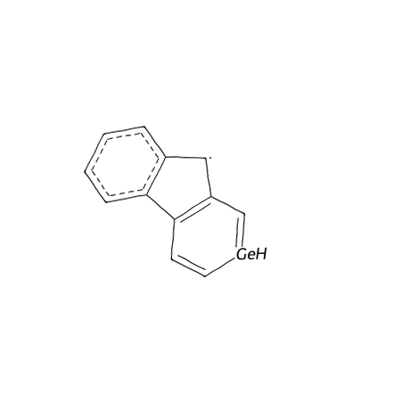 [CH]1C2=C(C=[CH][GeH]=[CH]2)c2ccccc21